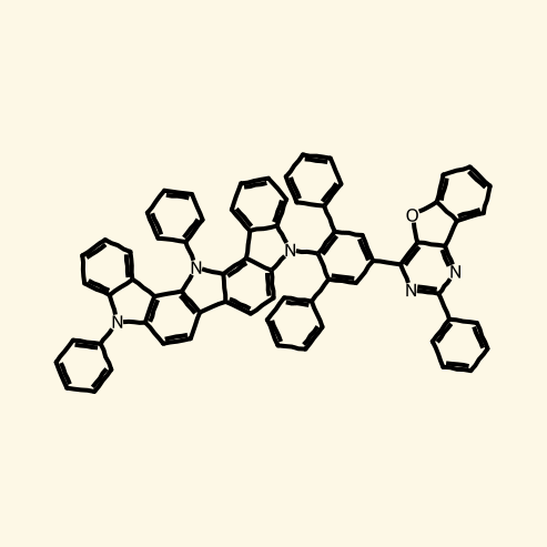 c1ccc(-c2nc(-c3cc(-c4ccccc4)c(-n4c5ccccc5c5c4ccc4c6ccc7c(c8ccccc8n7-c7ccccc7)c6n(-c6ccccc6)c45)c(-c4ccccc4)c3)c3oc4ccccc4c3n2)cc1